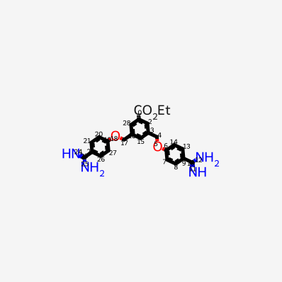 CCOC(=O)c1cc(COc2ccc(C(=N)N)cc2)cc(COc2ccc(C(=N)N)cc2)c1